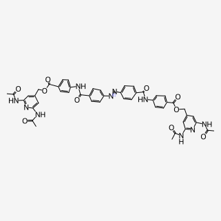 CC(=O)Nc1cc(COC(=O)c2ccc(NC(=O)c3ccc(/N=N/c4ccc(C(=O)Nc5ccc(C(=O)OCc6cc(NC(C)=O)nc(NC(C)=O)c6)cc5)cc4)cc3)cc2)cc(NC(C)=O)n1